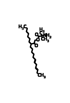 CCC=CCC=CCCCCCC(CCCCCCC)C(=O)COC(=O)C(C)(C)N